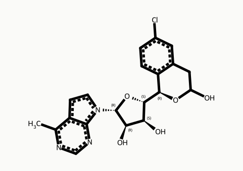 Cc1ncnc2c1ccn2[C@@H]1O[C@H]([C@@H]2OC(O)Cc3cc(Cl)ccc32)[C@@H](O)[C@H]1O